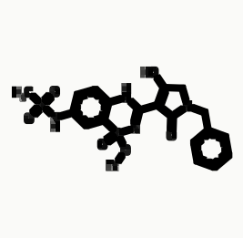 CCOP1(=O)N=C(C2=C(O)CN(Cc3ccccc3)C2=O)Nc2ccc(NS(C)(=O)=O)cc21